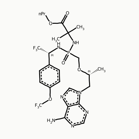 CCCOC(=O)C(C)(C)NP(=O)(CO[C@H](C)Cn1cnc2c(N)ncnc21)N[C@H](c1ccc(OC(F)(F)F)cc1)C(F)(F)F